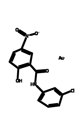 O=C(Nc1cccc(Cl)c1)c1cc([N+](=O)[O-])ccc1O.[Au]